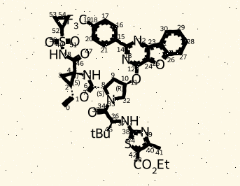 C=C[C@@H]1C[C@]1(NC(=O)[C@@H]1C[C@@H](Oc2nc(-c3ccc(C(F)(F)F)cc3)nc3c2oc2ccccc23)CN1C(=O)[C@@H](Nc1nc(C)c(C(=O)OCC)s1)C(C)(C)C)C(=O)NS(=O)(=O)C1CC1